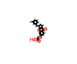 Cc1cccc(/C=C2\CCc3c2oc2cc(OCC(=O)O)ccc2c3=O)c1